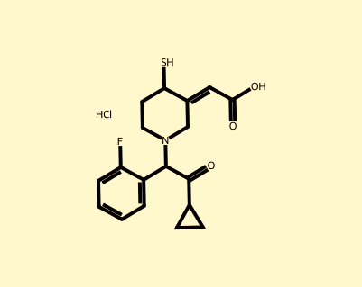 Cl.O=C(O)C=C1CN(C(C(=O)C2CC2)c2ccccc2F)CCC1S